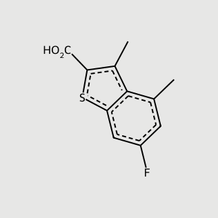 Cc1cc(F)cc2sc(C(=O)O)c(C)c12